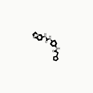 O=C(CC1CCCC1)Nc1ccc(NC(=O)Nc2ccc3nccn3c2)cc1